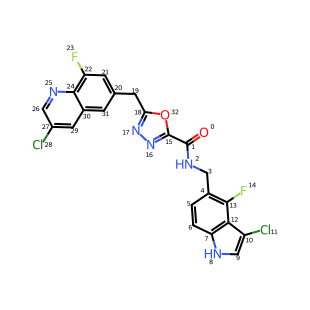 O=C(NCc1ccc2[nH]cc(Cl)c2c1F)c1nnc(Cc2cc(F)c3ncc(Cl)cc3c2)o1